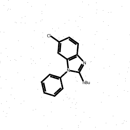 CCCCc1nc2ccc(Cl)cc2n1-c1c[c]ccc1